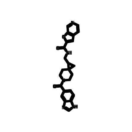 O=C(NCC1CC12CCN(C(=O)c1ccc3[nH]cnc3c1)CC2)c1cc2ccncc2o1